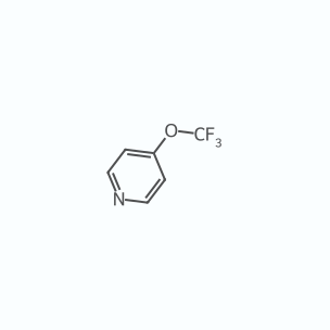 FC(F)(F)Oc1ccncc1